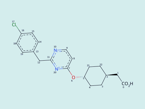 O=C(O)C[C@H]1CC[C@H](Oc2ccnc(Cc3ccc(Cl)cc3)n2)CC1